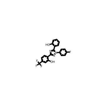 Oc1cc(C(F)(F)F)ccc1-c1nc(-c2ccccc2O)n(-c2ccc(F)cc2)n1